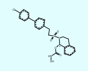 O=C(NO)O[C@@H]1c2ccccc2CCN1S(=O)(=O)CCc1ccc(-c2ccc(Cl)cc2)cc1